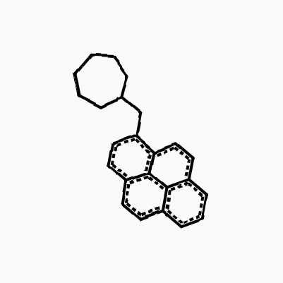 c1cc2ccc3ccc(C[C]4CCCCCC4)c4ccc(c1)c2c34